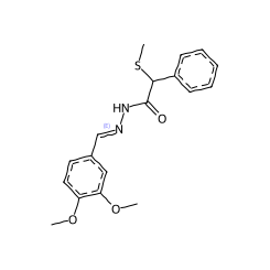 COc1ccc(/C=N/NC(=O)C(SC)c2ccccc2)cc1OC